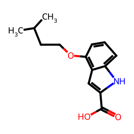 CC(C)CCOc1cccc2[nH]c(C(=O)O)cc12